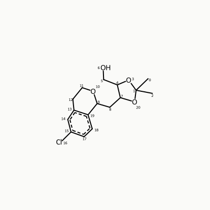 CC1(C)OC(CO)C(CC2OCCc3cc(Cl)ccc32)O1